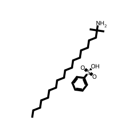 CCCCCCCCCCCCCCCCCC(C)(C)N.O=S(=O)(O)c1ccccc1